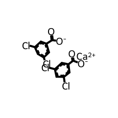 O=C([O-])c1cc(Cl)cc(Cl)c1.O=C([O-])c1cc(Cl)cc(Cl)c1.[Ca+2]